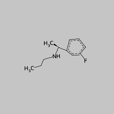 CCCN[C@@H](C)c1cccc(F)c1